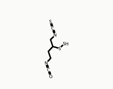 O=C=NCCC(CN=C=S)SS